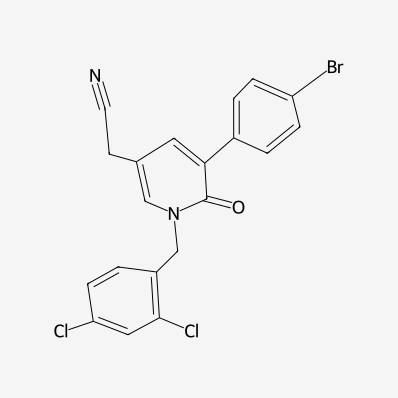 N#CCc1cc(-c2ccc(Br)cc2)c(=O)n(Cc2ccc(Cl)cc2Cl)c1